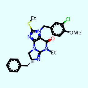 CCSc1nc2c(n1Cc1ccc(OC)c(Cl)c1)C(=O)N(CC)C1=N[C@H](Cc3ccccc3)CN12